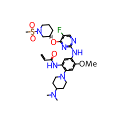 C=CC(=O)Nc1cc(Nc2ncc(F)c(O[C@H]3CCCN(S(C)(=O)=O)C3)n2)c(OC)cc1N1CCC(N(C)C)CC1